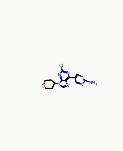 Nc1ncc(-c2nc(Cl)nc3c2ncn3C2CCOCC2)cn1